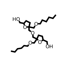 CCCCCCOCC1(COCC2(COCCCCCC)CCC(CO)O2)CCC(CO)O1